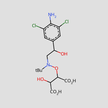 CC(C)(C)N(CC(O)c1cc(Cl)c(N)c(Cl)c1)OC(C(=O)O)C(O)C(=O)O